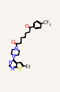 CCc1cc2c(N3CCN(C(=O)CCCCCC(=O)c4ccc(C(F)(F)F)cc4)CC3)ncnc2s1